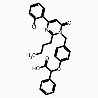 CCCCc1nc(-c2ccccc2Cl)cc(=O)n1Cc1ccc(OC(C(=O)O)c2ccccc2)cc1